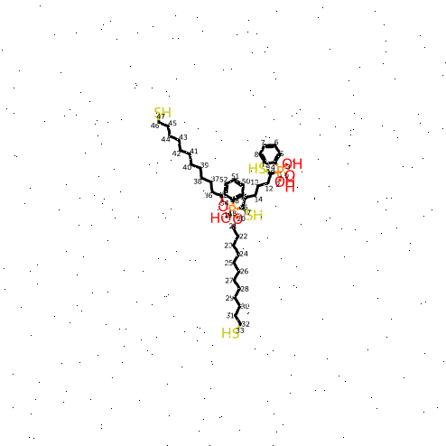 OP(O)(O)(c1ccccc1)C(S)CCCCC(S)P(O)(OCCCCCCCCCCCCS)(OCCCCCCCCCCCCS)c1ccccc1